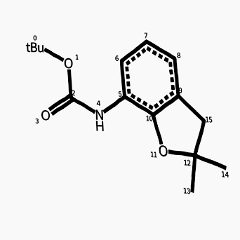 CC(C)(C)OC(=O)Nc1cccc2c1OC(C)(C)C2